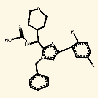 O=C(O)NC(c1nc(-c2cc(F)ccc2F)cn1Cc1ccccc1)C1CCOCC1